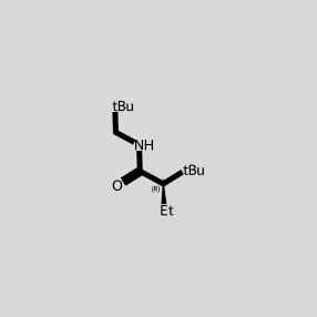 CC[C@@H](C(=O)NCC(C)(C)C)C(C)(C)C